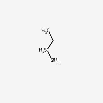 CC[SiH2][SiH3]